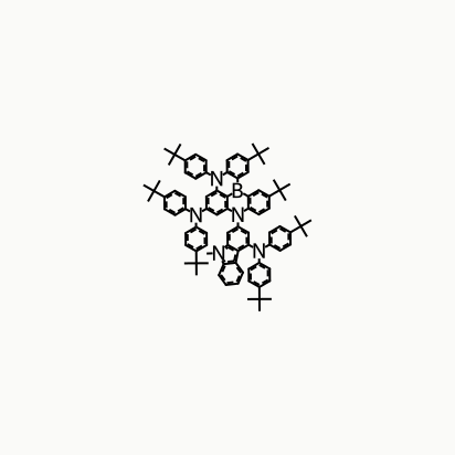 Cn1c2ccccc2c2c(N(c3ccc(C(C)(C)C)cc3)c3ccc(C(C)(C)C)cc3)cc(N3c4ccc(C(C)(C)C)cc4B4c5cc(C(C)(C)C)ccc5N(c5ccc(C(C)(C)C)cc5)c5cc(N(c6ccc(C(C)(C)C)cc6)c6ccc(C(C)(C)C)cc6)cc3c54)cc21